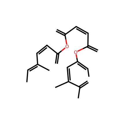 C=C(/C=C\C(=C)OC(/C=C(/C)C(=C)C)=C/C)OC(=C)/C=C\C(C)=C\C